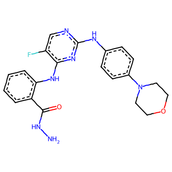 NNC(=O)c1ccccc1Nc1nc(Nc2ccc(N3CCOCC3)cc2)ncc1F